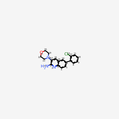 Nc1nc2ccc(-c3ccccc3Cl)cc2cc1N1CCOCC1